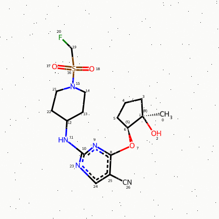 C[C@@]1(O)CCC[C@@H]1Oc1nc(NC2CCN(S(=O)(=O)CF)CC2)ncc1C#N